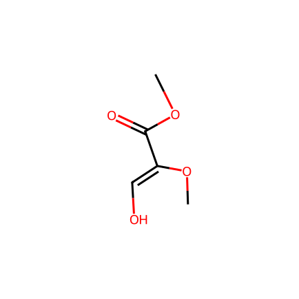 COC(=O)C(=CO)OC